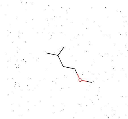 [CH]OCCC(C)C